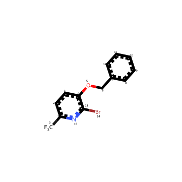 FC(F)(F)c1ccc(OCc2ccccc2)c(Br)n1